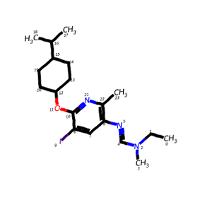 CCN(C)/C=N/c1cc(I)c(OC2CCC(C(C)C)CC2)nc1C